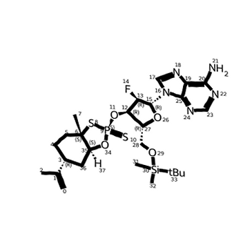 C=C(C)[C@@H]1CC[C@]2(C)S[P@@](=S)(O[C@H]3[C@@H](F)[C@H](n4cnc5c(N)ncnc54)O[C@@H]3CO[Si](C)(C)C(C)(C)C)O[C@H]2C1